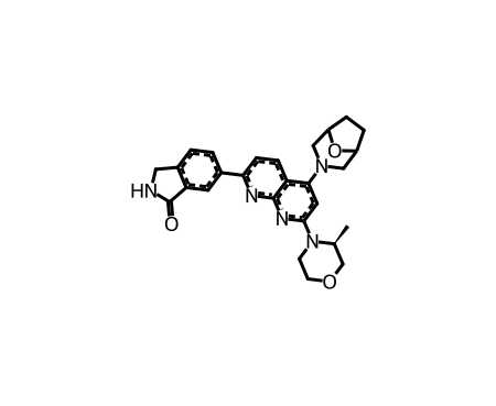 C[C@H]1COCCN1c1cc(N2CC3CCC(C2)O3)c2ccc(-c3ccc4c(c3)C(=O)NC4)nc2n1